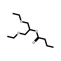 CCCC(=O)OC(COCC)COCC